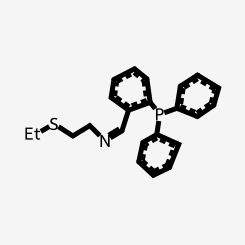 CCSCC/N=C\c1ccccc1P(c1ccccc1)c1ccccc1